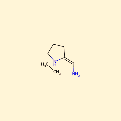 CC.NC=C1CCCN1